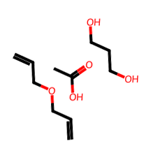 C=CCOCC=C.CC(=O)O.OCCCO